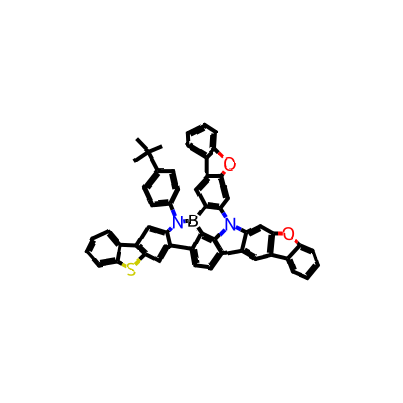 CC(C)(C)c1ccc(N2B3c4cc5c(cc4-n4c6cc7oc8ccccc8c7cc6c6ccc(c3c64)-c3cc4sc6ccccc6c4cc32)oc2ccccc25)cc1